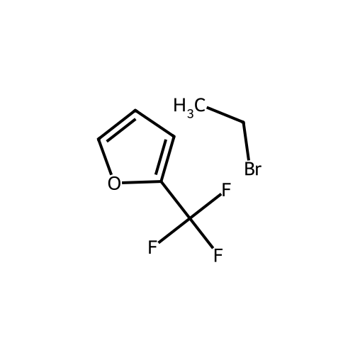 CCBr.FC(F)(F)c1ccco1